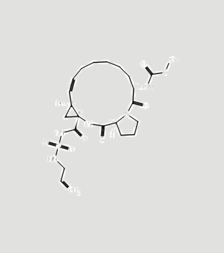 C=CCNS(=O)(=O)NC(=O)[C@@]12C[C@H]1/C=C\CCCCC[C@H](NC(=O)OC(C)(C)C)C(=O)N1CCC[C@H]1C(=O)N2